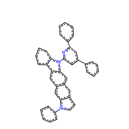 c1ccc(-c2cc(-c3ccccc3)nc(-n3c4ccccc4c4cc5cc6c(ccn6-c6ccccc6)cc5cc43)c2)cc1